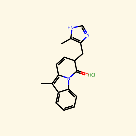 Cc1[nH]cnc1CC1C=Cc2c(C)c3ccccc3n2C1=O.Cl